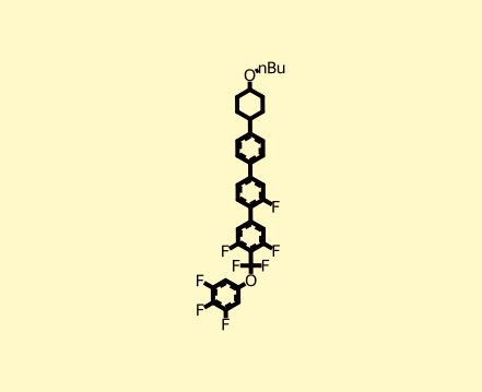 CCCCOC1CCC(c2ccc(-c3ccc(-c4cc(F)c(C(F)(F)Oc5cc(F)c(F)c(F)c5)c(F)c4)c(F)c3)cc2)CC1